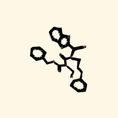 CC(C)CN(C(=O)OCc1ccccc1)C(=O)N(CCCc1ccccc1)C(=O)c1nc2ccccc2o1